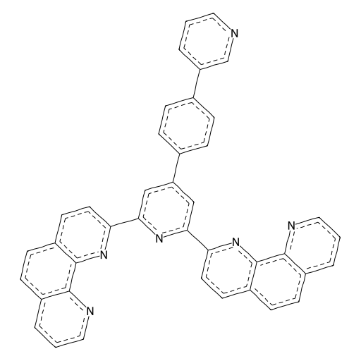 c1cncc(-c2ccc(-c3cc(-c4ccc5ccc6cccnc6c5n4)nc(-c4ccc5ccc6cccnc6c5n4)c3)cc2)c1